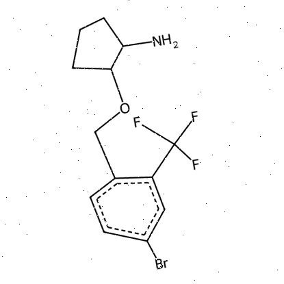 NC1CCCC1OCc1ccc(Br)cc1C(F)(F)F